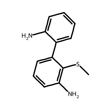 CSc1c(N)cccc1-c1ccccc1N